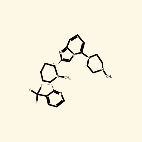 CN1CCN(c2cccc3nc([C@H]4CCC[C@@H](c5ncccc5C(F)(F)F)N4C)cn23)CC1